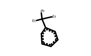 CCC(CC)(c1ccccc1)C(C)C